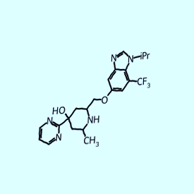 CC1CC(O)(c2ncccn2)CC(COc2cc(C(F)(F)F)c3c(c2)ncn3C(C)C)N1